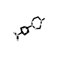 CN1CCOB(c2ccc([SH](=O)=O)cc2)OCC1